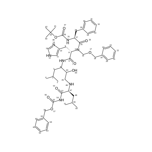 CC(C)CC(NC(=O)[C@H](Cc1c[nH]cn1)N(COCc1ccccc1)C(=O)[C@H](Cc1ccccc1)NC(=O)OC(C)(C)C)C(O)CN[C@@H](CC(C)C)C(=O)NC(=O)OCc1ccccc1